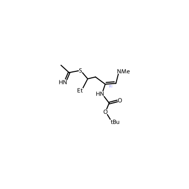 CCC(C/C(=C\NC)NC(=O)OC(C)(C)C)SC(C)=N